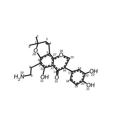 CC1(C)C=Cc2c(c(CCN)c(O)c3c(=O)c(-c4ccc(O)c(O)c4)coc23)O1